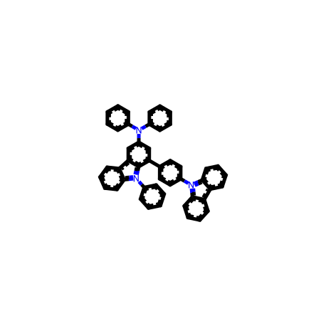 c1ccc(N(c2ccccc2)c2cc(-c3ccc(-n4c5ccccc5c5ccccc54)cc3)c3c(c2)c2ccccc2n3-c2ccccc2)cc1